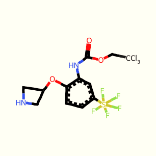 O=C(Nc1cc(S(F)(F)(F)(F)F)ccc1OC1CNC1)OCC(Cl)(Cl)Cl